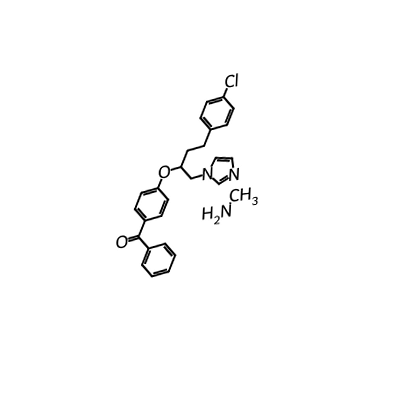 CN.O=C(c1ccccc1)c1ccc(OC(CCc2ccc(Cl)cc2)Cn2ccnc2)cc1